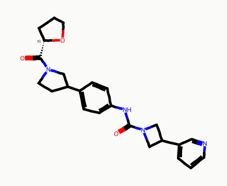 O=C(Nc1ccc(C2CCN(C(=O)[C@@H]3CCCO3)C2)cc1)N1CC(c2cccnc2)C1